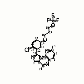 Cc1ccc2nc(C)c3cnc(-c4cc(OCCCOC(F)(F)F)ccc4Cl)n3c2n1